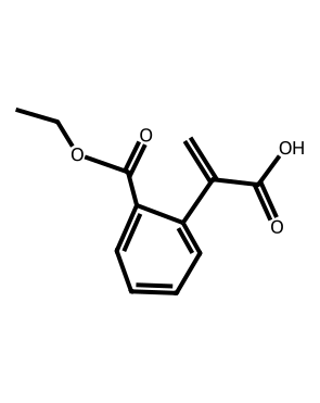 C=C(C(=O)O)c1ccccc1C(=O)OCC